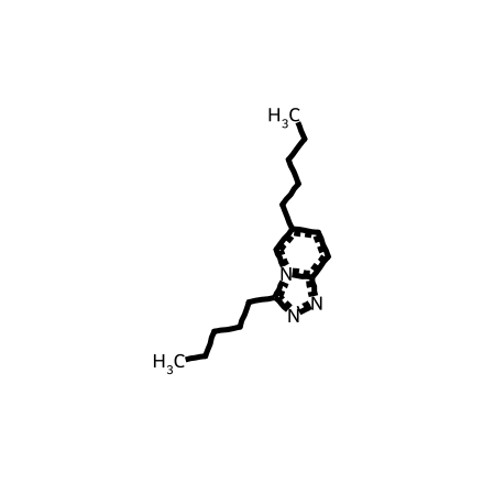 CCCCCc1ccc2nnc(CCCCC)n2c1